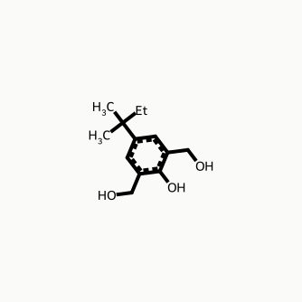 CCC(C)(C)c1cc(CO)c(O)c(CO)c1